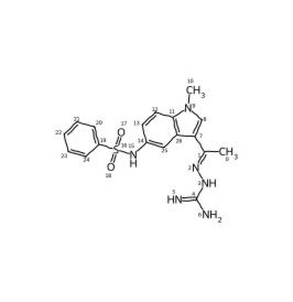 CC(=NNC(=N)N)c1cn(C)c2ccc(NS(=O)(=O)c3ccccc3)cc12